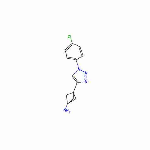 NC12CC(c3cn(-c4ccc(Cl)cc4)nn3)(C1)C2